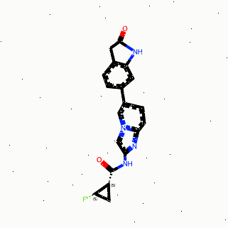 O=C1Cc2ccc(-c3ccc4nc(NC(=O)[C@@H]5C[C@@H]5F)cn4c3)cc2N1